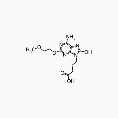 COCCOc1nc(N)c2nc(O)n(CCCC(=O)O)c2n1